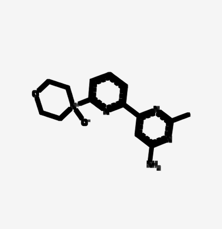 Cc1nc(N)cc(-c2cccc([N+]3([O-])CCOCC3)n2)n1